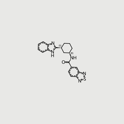 O=C(N[C@@H]1CCC[C@H](c2nc3ccccc3[nH]2)C1)c1ccc2nsnc2c1